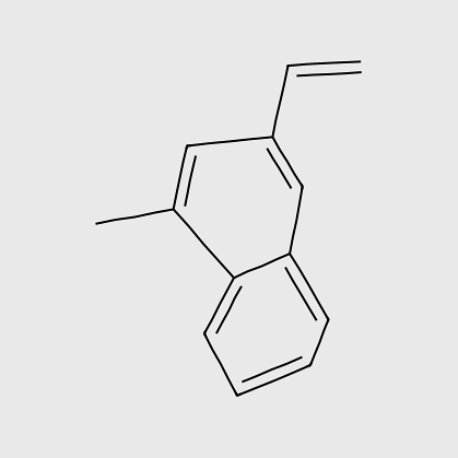 C=Cc1cc(C)c2ccccc2c1